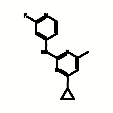 Cc1cc(C2CC2)nc(Nc2ccnc(F)c2)n1